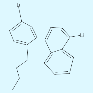 [Li][c]1ccc(CCCC)cc1.[Li][c]1cccc2ccccc12